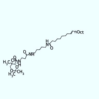 CCCCCCCCC=CCCCCCCCC(=O)NCCCCCCNC(=O)CCNC(=O)C1OC(C)(C)OCC1(C)C